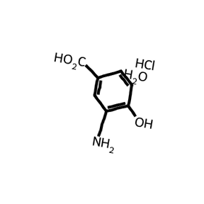 Cl.Nc1cc(C(=O)O)ccc1O.O